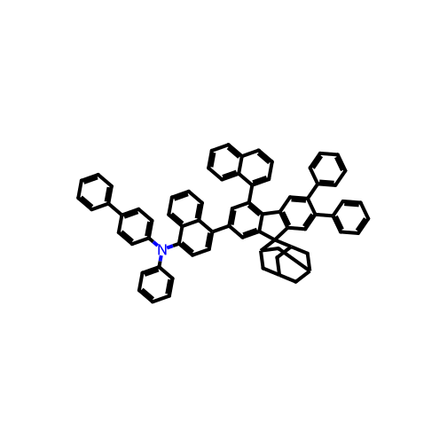 c1ccc(-c2ccc(N(c3ccccc3)c3ccc(-c4cc(-c5cccc6ccccc56)c5c(c4)C4(c6cc(-c7ccccc7)c(-c7ccccc7)cc6-5)C5CC6CC(C5)CC4C6)c4ccccc34)cc2)cc1